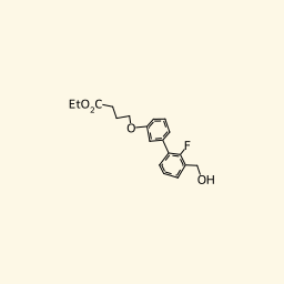 CCOC(=O)CCCOc1cccc(-c2cccc(CO)c2F)c1